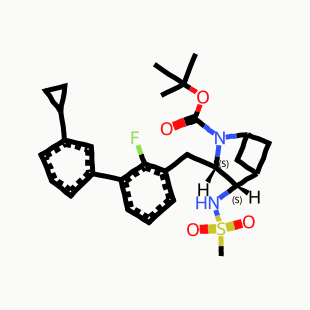 CC(C)(C)OC(=O)N1C2CC(C2)[C@H](NS(C)(=O)=O)[C@@H]1Cc1cccc(-c2cccc(C3CC3)c2)c1F